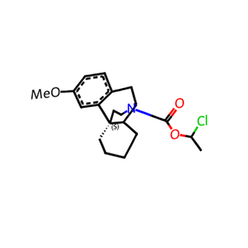 COc1ccc2c(c1)[C@]13CCCCC1C(C2)N(C(=O)OC(C)Cl)CC3